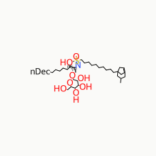 CCCCCCCCCCCCCCC[C@@H](O)[C@H](COC1OC(CO)C(O)C(O)C1O)N=S(C)(=O)CCCCCCCCCCC12CC=C(CC(C)C1)C2